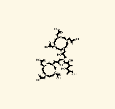 CC(CO)C(O)C(C)C(O)CN(CC(O)CN1CCN(CC(=O)O)CCN(CC(=O)O)CCN(CC(=O)O)CC1)CC(O)CN1CCN(CC(=O)O)CCN(CC(=O)O)CCN(C(=O)O)CC1